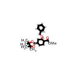 COC(=O)C1CCC(B2OC(C)(C)C(C)(C)O2)CC1OCc1ccccc1